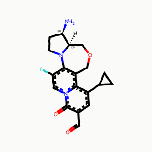 N[C@@H]1CCN2c3c(F)cn4c(=O)c(C=O)cc(C5CC5)c4c3COC[C@H]12